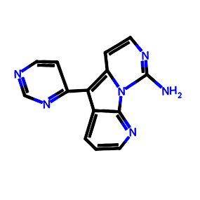 Nc1nccc2c(-c3ccncn3)c3cccnc3n12